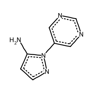 Nc1ccnn1-c1cncnc1